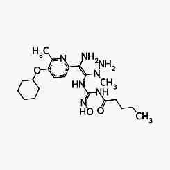 CCCCC(=O)N/C(=N\O)N/C(=C(/N)c1ccc(OC2CCCCC2)c(C)n1)N(C)N